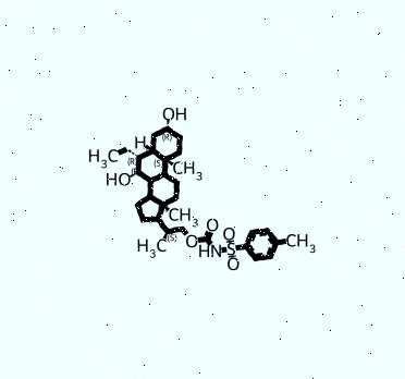 CC[C@H]1[C@@H](O)C2C3CCC([C@H](C)COC(=O)NS(=O)(=O)c4ccc(C)cc4)[C@@]3(C)CCC2[C@@]2(C)CC[C@@H](O)C[C@@H]12